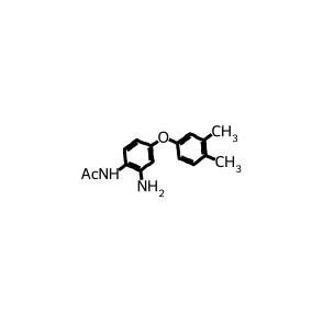 CC(=O)Nc1ccc(Oc2ccc(C)c(C)c2)cc1N